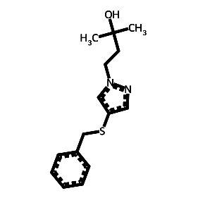 CC(C)(O)CCn1cc(SCc2ccccc2)cn1